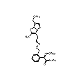 CNC(=O)C(=NOC)c1ccccc1CON=CCC1=C(C)SC2N(COC)C=NN12